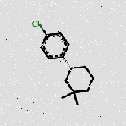 CC1(C)[CH][C@H](c2ccc(Cl)cc2)CCC1